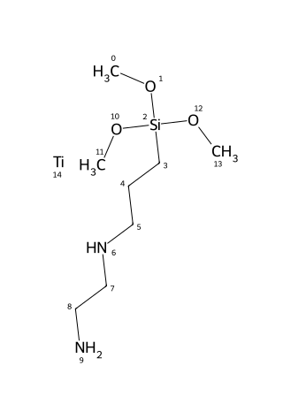 CO[Si](CCCNCCN)(OC)OC.[Ti]